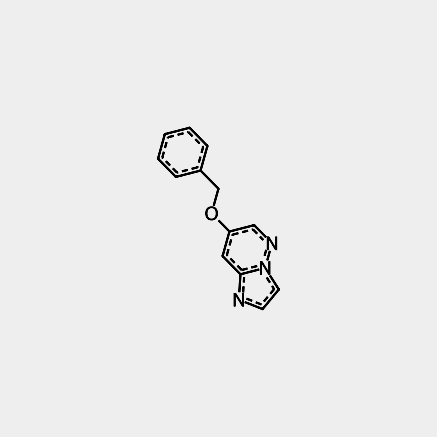 c1ccc(COc2cnn3ccnc3c2)cc1